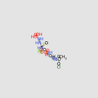 CC1(C)CCC(c2ccc(Cl)cc2)=C(CN2CCN(c3ccc(C(=O)NS(=O)(=O)c4ccc(N[C@H](CCNCCNCCP(=O)(O)O)CSc5ccccc5)c(S(=O)(=O)C(F)(F)F)c4)cc3)CC2)C1